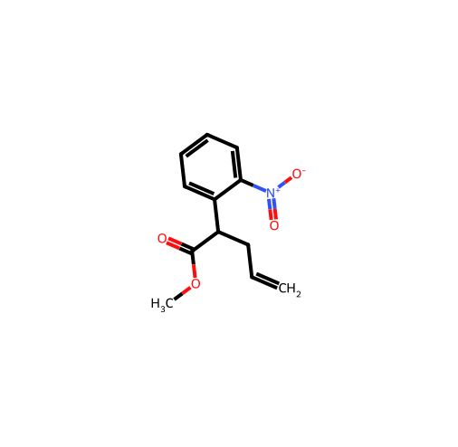 C=CCC(C(=O)OC)c1ccccc1[N+](=O)[O-]